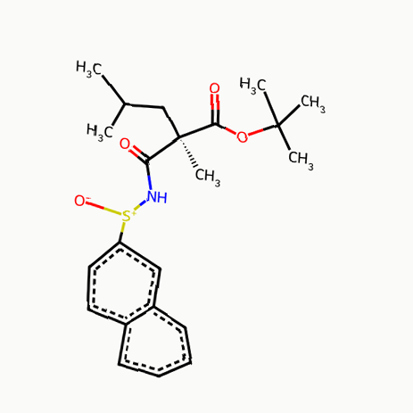 CC(C)C[C@](C)(C(=O)N[S+]([O-])c1ccc2ccccc2c1)C(=O)OC(C)(C)C